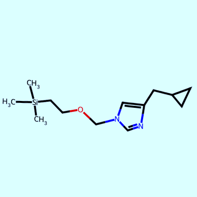 C[Si](C)(C)CCOCn1cnc(CC2CC2)c1